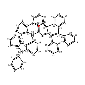 c1ccc(-c2ccccc2N(c2ccc3c(c2)c(-c2ccccc2)c(-c2ccccc2)c2ccccc23)c2cccc3c2c2ccccc2n3-c2ccccc2)cc1